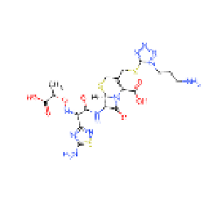 CC(O/N=C(\C(=O)NC1C(=O)N2C(C(=O)O)=C(CSc3nnnn3CCCN)CS[C@H]12)c1nsc(N)n1)C(=O)O